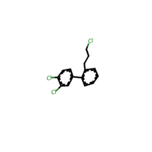 ClCCCc1ccccc1-c1ccc(Cl)c(Cl)c1